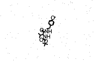 COc1ccc(CCNC(=O)[C@@H](NC(=O)OC(C)(C)C)C(C)C)cc1